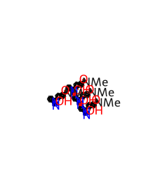 CNC(=O)c1ccc2c(c1)CCC(C1c3ccccc3-c3cncn31)[C@@H]2O.CNC(=O)c1ccc2c(c1)CCC(C1c3ccccc3-c3cncn31)[C@@H]2O.CNC(=O)c1ccc2c(c1)CCC(C1c3ccccc3-c3cncn31)[C@@H]2O.CNC(=O)c1ccc2c(c1)CC[C@H](C1c3ccccc3-c3cncn31)[C@@H]2O